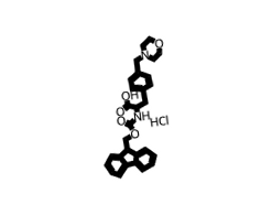 Cl.O=C(NC(Cc1ccc(CN2CCOCC2)cc1)C(=O)O)OCC1c2ccccc2-c2ccccc21